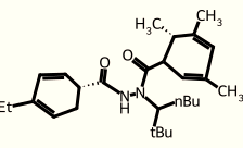 CCCCC(N(NC(=O)[C@H]1C=CC(CC)=CC1)C(=O)C1C=C(C)C=C(C)[C@H]1C)C(C)(C)C